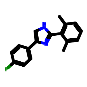 Cc1cccc(C)c1-c1nc(-c2ccc(F)cc2)c[nH]1